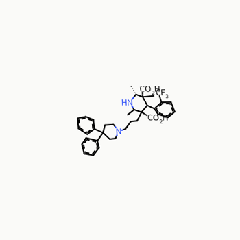 CC1N[C@H](C)C(C)(C(=O)O)C(c2ccccc2C(F)(F)F)C1(CCCN1CCC(c2ccccc2)(c2ccccc2)CC1)C(=O)O